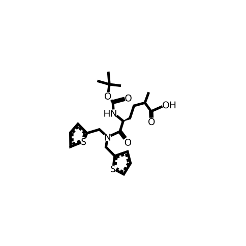 CC(CC[C@H](NC(=O)OC(C)(C)C)C(=O)N(Cc1cccs1)Cc1cccs1)C(=O)O